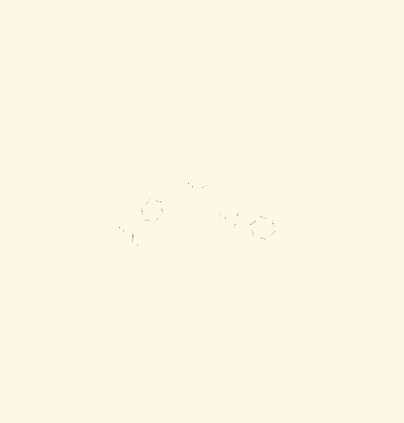 CC(C)c1ccc(S(=O)(=O)N(C)CCC(=O)N(C)CCc2ccc(C3=NCCN3)cc2)cc1